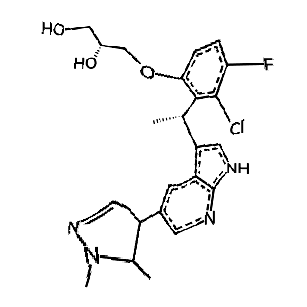 CC1C(c2cnc3[nH]cc([C@H](C)c4c(OC[C@H](O)CO)ccc(F)c4Cl)c3c2)C=NN1C